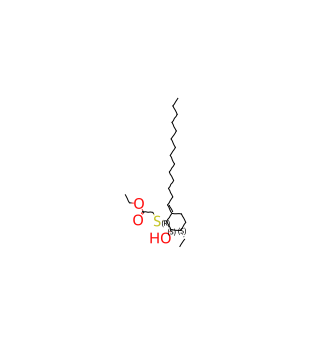 CCCCCCCCCCCCCC=C1CC[C@H](CC)[C@H](O)[C@@H]1SCC(=O)OCC